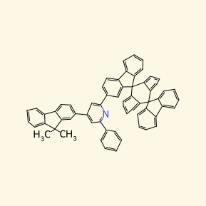 CC1(C)c2ccccc2-c2ccc(-c3cc(-c4ccccc4)nc(-c4ccc5c(c4)C4(c6ccccc6-5)c5ccccc5C5(c6ccccc6-c6ccccc65)c5ccccc54)c3)cc21